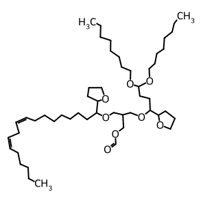 CCCCC/C=C\C/C=C\CCCCCCCC(OCC(COC=O)COC(CCC(OCCCCCCCC)OCCCCCCCC)C1CCCO1)C1CCCO1